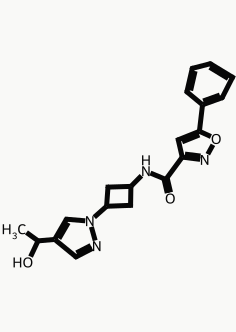 CC(O)c1cnn(C2CC(NC(=O)c3cc(-c4ccccc4)on3)C2)c1